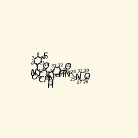 Cc1onc(-c2cccc(F)c2)c1C(=O)c1c[nH]c2cc(C(=O)NCCN3CCOCC3)ccc12